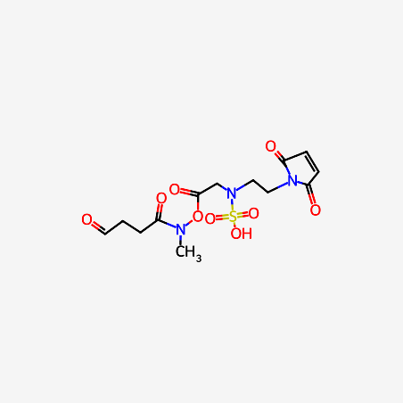 CN(OC(=O)CN(CCN1C(=O)C=CC1=O)S(=O)(=O)O)C(=O)CCC=O